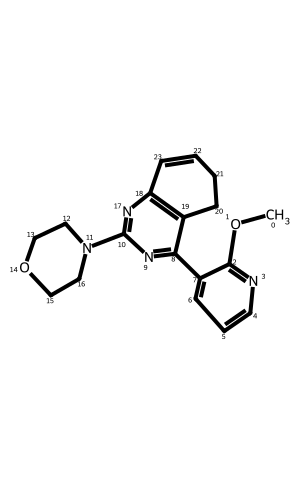 COc1ncccc1-c1nc(N2CCOCC2)nc2c1CCC=C2